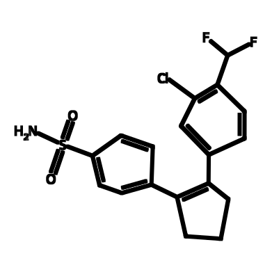 NS(=O)(=O)c1ccc(C2=C(c3ccc(C(F)F)c(Cl)c3)CCC2)cc1